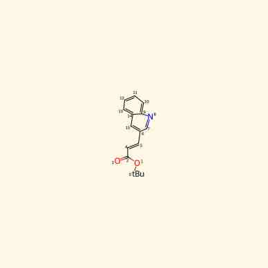 CC(C)(C)OC(=O)C=Cc1cnc2ccccc2c1